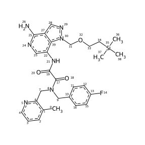 Cc1cccnc1CN(Cc1ccc(F)cc1)C(=O)C(=O)Nc1cnc(N)c2cnn(COCC[Si](C)(C)C)c12